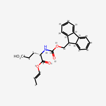 C/C=C/OC(=O)[C@H](CCC(=O)O)NC(=O)OCC1c2ccccc2-c2ccccc21